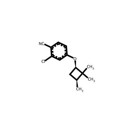 C[C@H]1C[C@@H](Oc2ccc(C#N)c(Cl)c2)C1(C)C